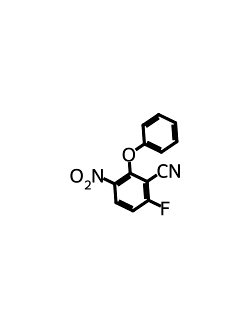 N#Cc1c(F)ccc([N+](=O)[O-])c1Oc1ccccc1